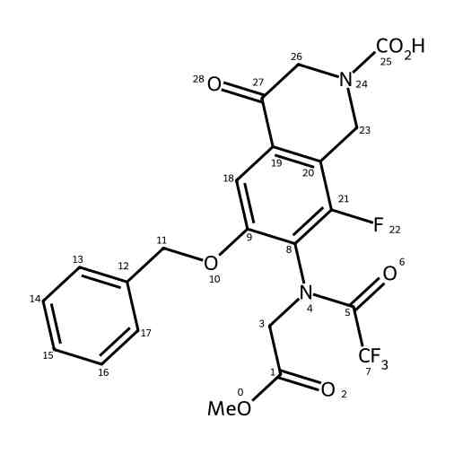 COC(=O)CN(C(=O)C(F)(F)F)c1c(OCc2ccccc2)cc2c(c1F)CN(C(=O)O)CC2=O